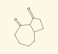 O=C1CCCCC2CCC(=O)C12